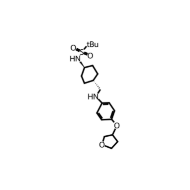 CC(C)(C)S(=O)(=O)N[C@H]1CC[C@H](CNc2ccc(OC3CCOC3)cc2)CC1